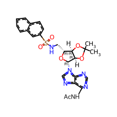 CC(=O)Nc1ncnc2c1ncn2[C@@H]1O[C@H](CNS(=O)(=O)c2ccc3ccccc3c2)[C@H]2OC(C)(C)O[C@H]21